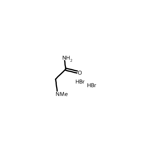 Br.Br.CNCC(N)=O